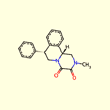 CN1C[C@H]2c3ccccc3[C@@H](c3ccccc3)CN2C(=O)C1=O